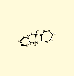 CC(C)(Cc1ccccc1O)C1CCCCCC1